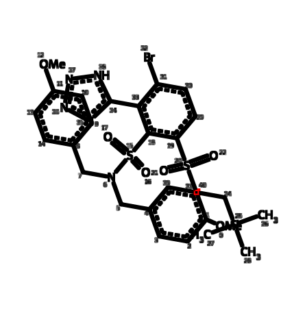 COc1ccc(CN(Cc2ccc(OC)cc2)S(=O)(=O)c2c(S(=O)(=O)CC[Si](C)(C)C)ccc(Br)c2-c2nnn[nH]2)cc1